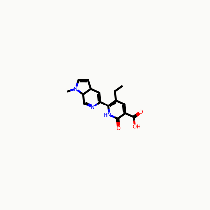 CCc1cc(C(=O)O)c(=O)[nH]c1C1=CC2C=CN(C)C2C=N1